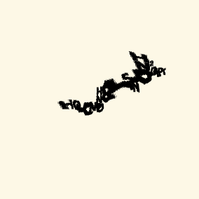 CC(C)OC1CC=C(c2ncc(-c3cccc4c3CC[C@@H]4NC(=O)N3CCC(CO)CC3)s2)C=C1N